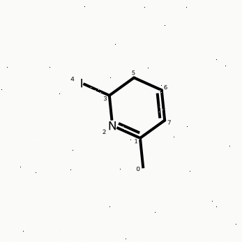 CC1=NC(I)CC=C1